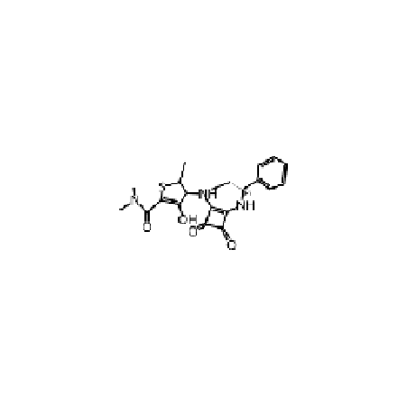 CC[C@@H](Nc1c(NC2C(O)=C(C(=O)N(C)C)SC2C)c(=O)c1=O)c1ccccc1